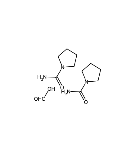 NC(=O)N1CCCC1.NC(=O)N1CCCC1.O=CO